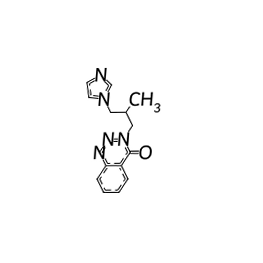 CC(Cn1ccnc1)Cn1nnc2ccccc2c1=O